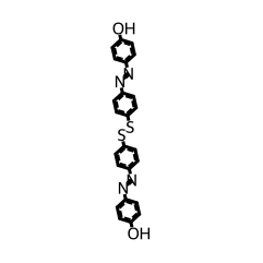 Oc1ccc(/N=N/c2ccc(SSc3ccc(/N=N/c4ccc(O)cc4)cc3)cc2)cc1